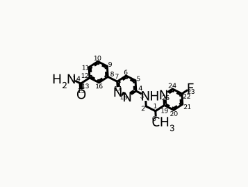 CC(CNc1ccc(-c2cccc(C(N)=O)c2)nn1)c1ccc(F)cn1